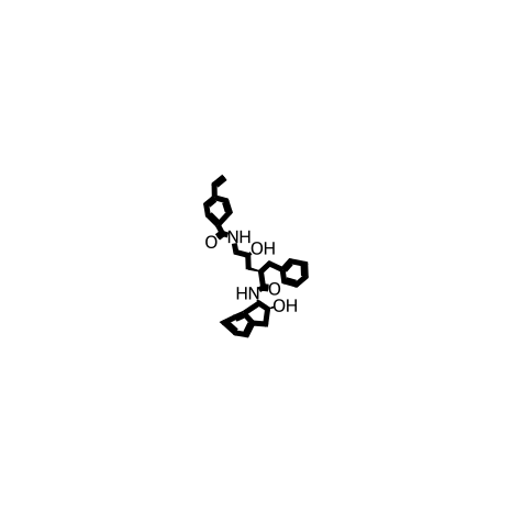 C=Cc1ccc(C(=O)NC[C@@H](O)C[C@@H](Cc2ccccc2)C(=O)N[C@H]2c3ccccc3C[C@H]2O)cc1